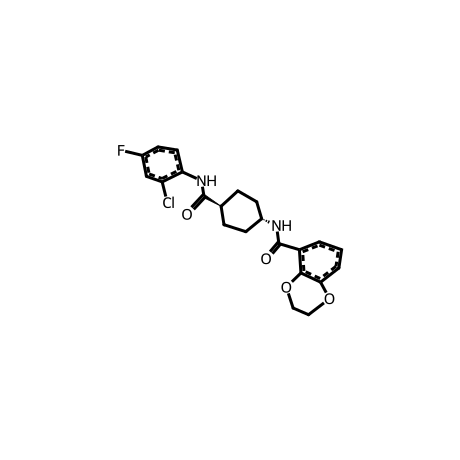 O=C(N[C@H]1CC[C@H](C(=O)Nc2ccc(F)cc2Cl)CC1)c1cccc2c1OCCO2